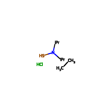 CC.CC(C)N(S)C(C)C.Cl